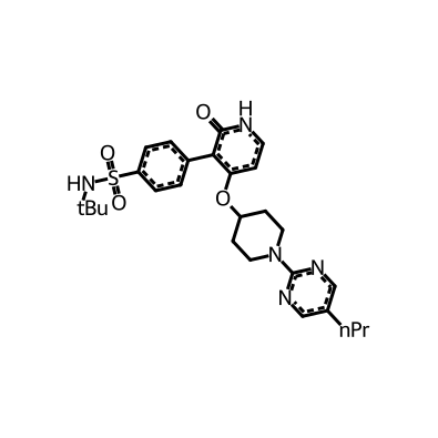 CCCc1cnc(N2CCC(Oc3cc[nH]c(=O)c3-c3ccc(S(=O)(=O)NC(C)(C)C)cc3)CC2)nc1